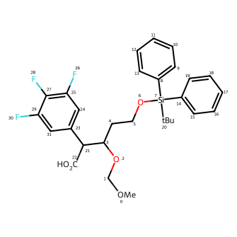 COCOC(CCO[Si](c1ccccc1)(c1ccccc1)C(C)(C)C)C(C(=O)O)c1cc(F)c(F)c(F)c1